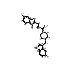 O=C(NCc1nc2cc(F)ccc2[nH]1)N1CCN(Cc2c[nH]c3ccc(Cl)cc23)CC1